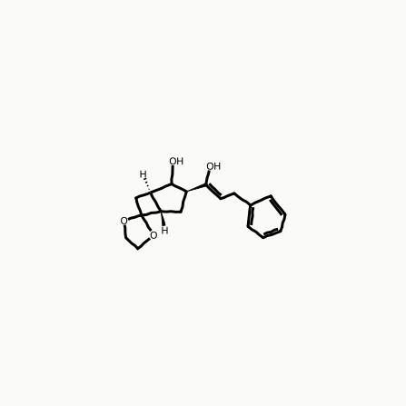 OC(=CCc1ccccc1)[C@H]1C[C@H]2[C@@H](CC23OCCO3)C1O